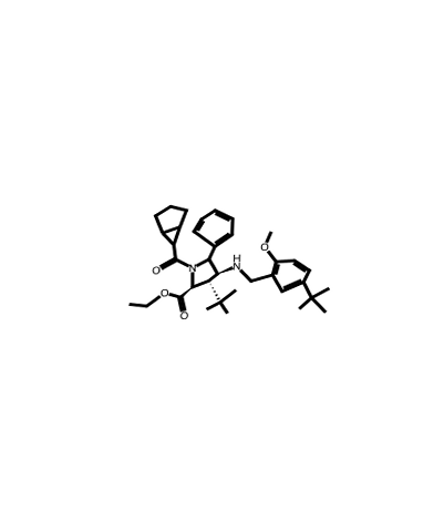 CCOC(=O)[C@@H]1[C@@H](C(C)(C)C)[C@H](NCc2cc(C(C)(C)C)ccc2OC)C(c2ccccc2)N1C(=O)C1C2CCCC21